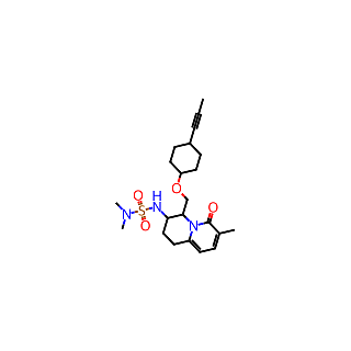 CC#CC1CCC(OCC2C(NS(=O)(=O)N(C)C)CCc3ccc(C)c(=O)n32)CC1